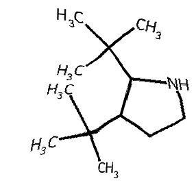 CC(C)(C)C1CCNC1C(C)(C)C